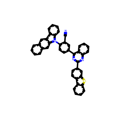 N#Cc1cc(-c2nc(-c3ccc4c(c3)sc3ccccc34)nc3ccccc23)ccc1-n1c2ccccc2c2cc3ccccc3cc21